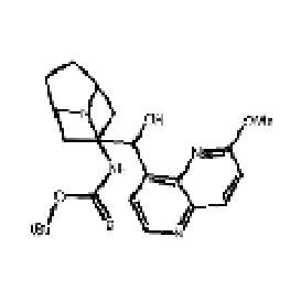 COc1ccc2nccc(C(O)CN3C4CCC3CC(NC(=O)OC(C)(C)C)C4)c2n1